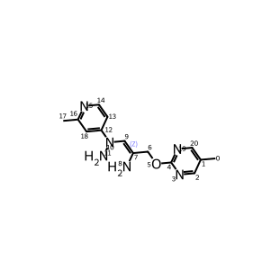 Cc1cnc(OC/C(N)=C/N(N)c2ccnc(C)c2)nc1